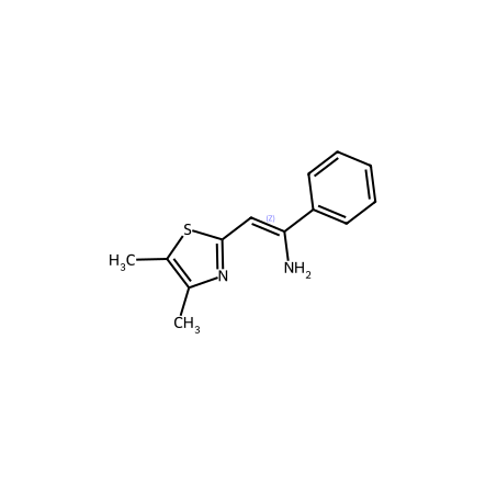 Cc1nc(/C=C(\N)c2ccccc2)sc1C